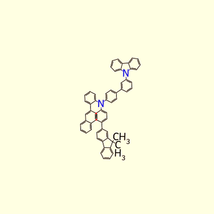 CC1(C)c2ccccc2-c2ccc(-c3ccc(N(c4ccc(-c5cccc(-n6c7ccccc7c7ccccc76)c5)cc4)c4ccccc4-c4ccc5ccccc5c4)cc3)cc21